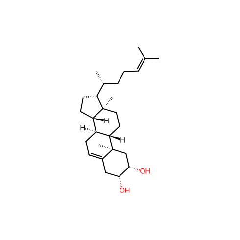 CC(C)=CCC[C@@H](C)[C@H]1CC[C@H]2[C@@H]3CC=C4C[C@@H](O)[C@@H](O)C[C@]4(C)[C@H]3CC[C@]12C